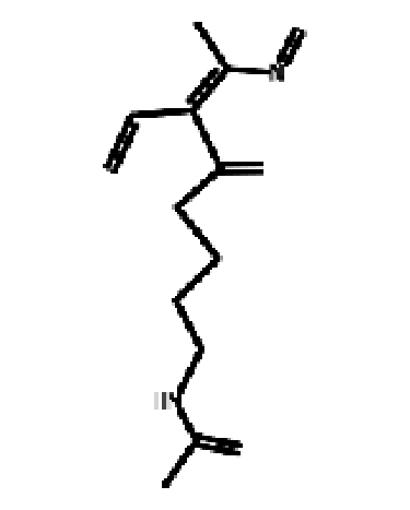 C=C/C(C(=C)CCCCNC(=C)C)=C(\C)N=C